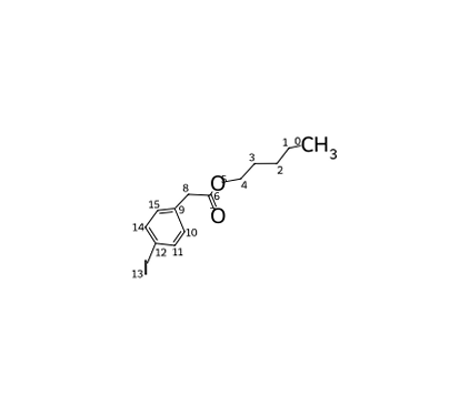 CCCCCOC(=O)Cc1ccc(I)cc1